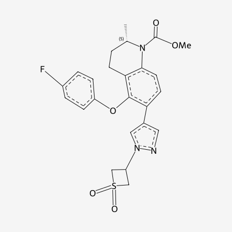 COC(=O)N1c2ccc(-c3cnn(C4CS(=O)(=O)C4)c3)c(Oc3ccc(F)cc3)c2CC[C@@H]1C